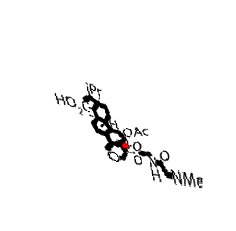 CNCC(=O)NCC(=O)O[C@H]1[C@H](OC(C)=O)C[C@]23COC[C@@]1(C)[C@@H]2CC[C@H]1C3=CC[C@@]2(C)[C@H](C(=O)O)[C@@](C)([C@H](C)C(C)C)CC[C@]12C